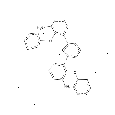 Nc1cccc(-c2cccc(-c3cccc(N)c3Oc3ccccc3)c2)c1Oc1ccccc1